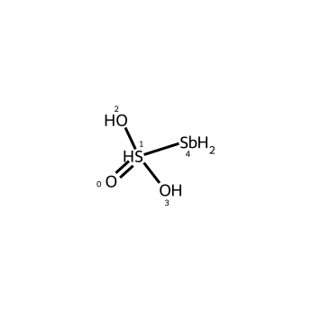 O=[SH](O)(O)[SbH2]